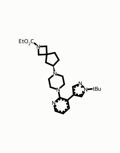 CCOC(=O)N1CC2(CC[C@@H](N3CCN(c4ncccc4-c4cnn(C(C)(C)C)c4)CC3)C2)C1